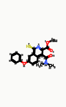 CCCCOC(=O)c1nc(S)c2cc(Oc3ccccc3)ccc2c1C(=O)N(C)C